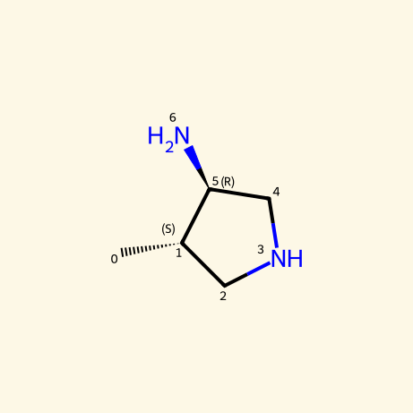 C[C@H]1CNC[C@@H]1N